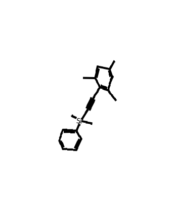 Cc1cc(C)c(C#C[Si](C)(C)c2ccccc2)c(C)c1